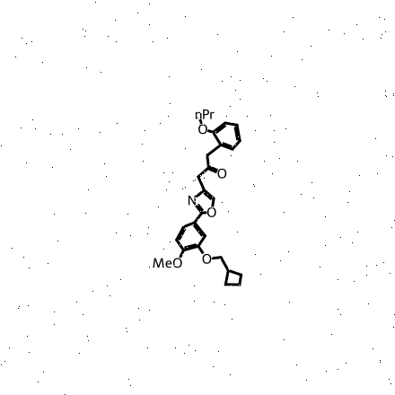 CCCOc1ccccc1CC(=O)Cc1coc(-c2ccc(OC)c(OCC3CCC3)c2)n1